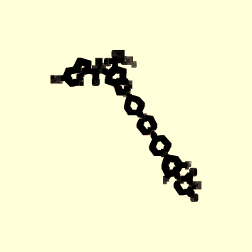 CC(C)(O)c1cc2nn(C3CCC(N4CCN(C5CCN(c6cc(F)c(N7CCC(=O)NC7=O)c(F)c6)CC5)CC4)CC3)cc2cc1NC(=O)c1ccc2cc(C#N)cnn12